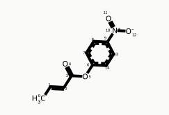 C/C=C/C(=O)Oc1ccc([N+](=O)[O-])cc1